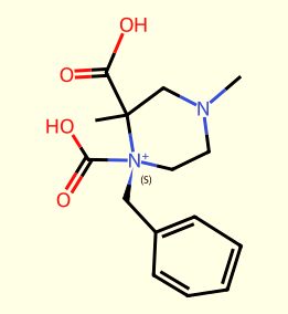 CN1CC[N@+](Cc2ccccc2)(C(=O)O)C(C)(C(=O)O)C1